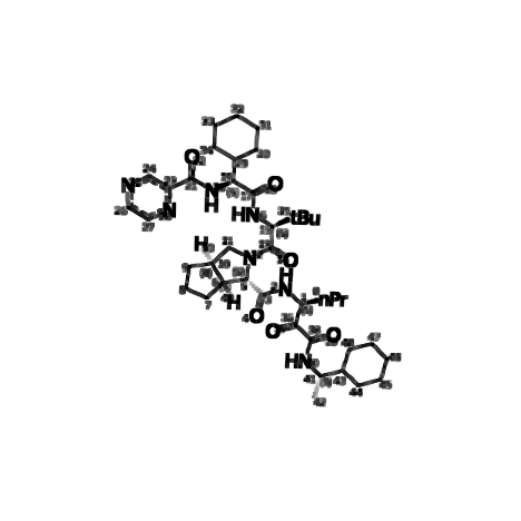 CCC[C@H](NC(=O)[C@@H]1[C@H]2CCC[C@H]2CN1C(=O)[C@@H](NC(=O)[C@@H](NC(=O)c1cnccn1)C1CCCCC1)C(C)(C)C)C(=O)C(=O)N[C@@H](C)C1CCCCC1